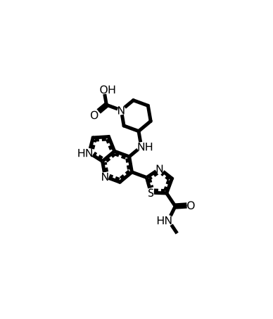 CNC(=O)c1cnc(-c2cnc3[nH]ccc3c2NC2CCCN(C(=O)O)C2)s1